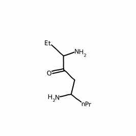 CCCC(N)CC(=O)C(N)CC